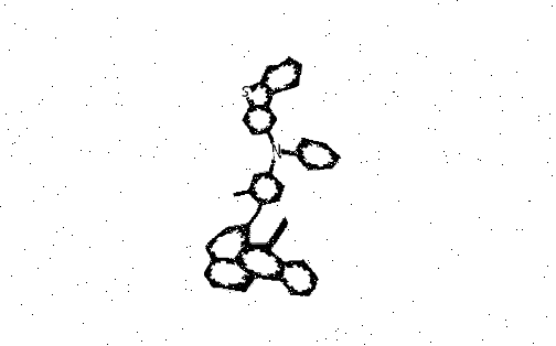 C=c1c2ccccc2c2cccc3ccc(-c4ccc(N(c5ccccc5)c5ccc6sc7ccccc7c6c5)cc4C)c1c32